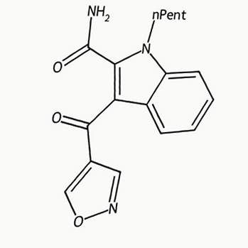 CCCCCn1c(C(N)=O)c(C(=O)c2cnoc2)c2ccccc21